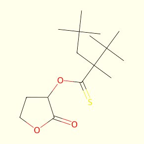 CC(C)(C)CC(C)(C(=S)OC1CCOC1=O)C(C)(C)C